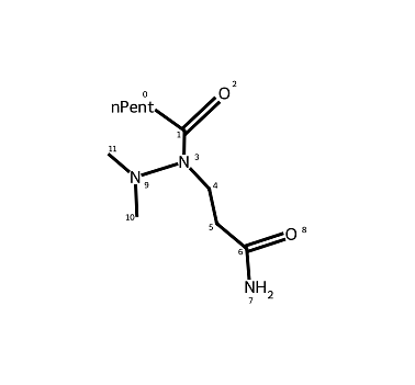 CCCCCC(=O)N(CCC(N)=O)N(C)C